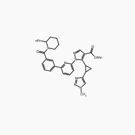 CCCC1CCCCN1C(=O)c1cccc(-c2cccc(-n3ncc(C(=O)OC)c3C3CC3c3cn(C)nn3)n2)c1